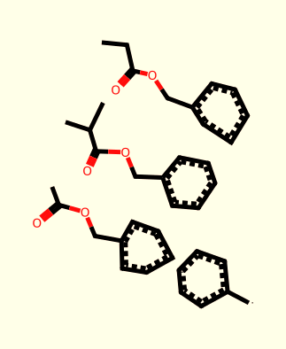 CC(=O)OCc1ccccc1.CC(C)C(=O)OCc1ccccc1.CCC(=O)OCc1ccccc1.[CH2]c1ccccc1